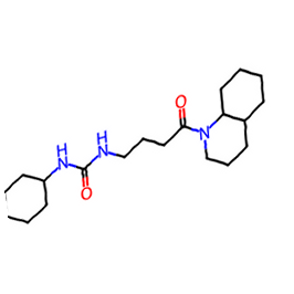 O=C(NCCCC(=O)N1CCCC2CCCCC21)NC1CCCCC1